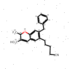 N#CCCCCc1cc2c(cc1Cc1ccccc1)OC(C(F)(F)F)C(C(=O)O)=C2